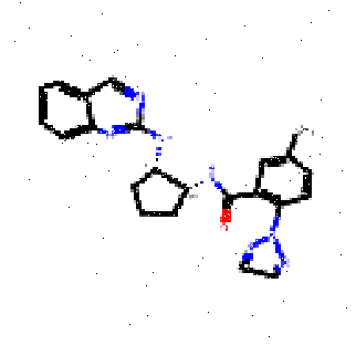 Cc1ccc(-n2nccn2)c(C(=O)N[C@@H]2CCC[C@@H]2Nc2ncc3ccccc3n2)c1